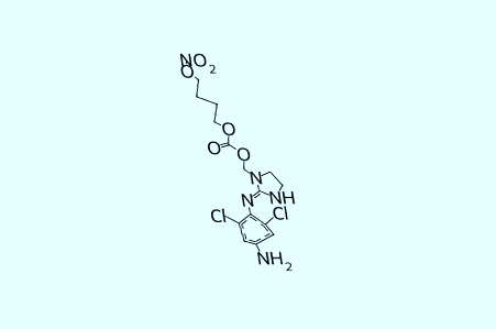 Nc1cc(Cl)c(/N=C2\NCCN2COC(=O)OCCCCO[N+](=O)[O-])c(Cl)c1